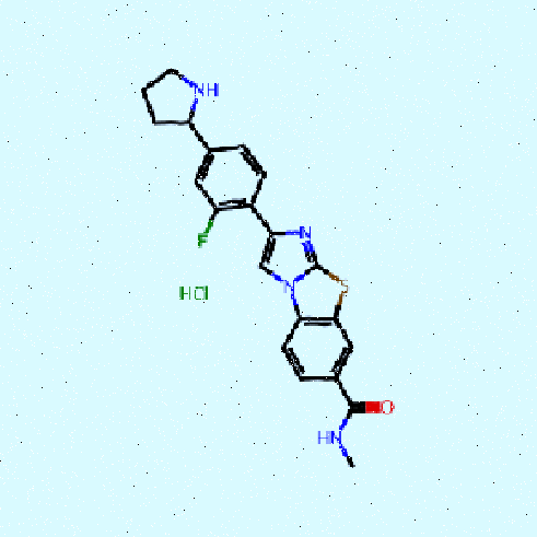 CNC(=O)c1ccc2c(c1)sc1nc(-c3ccc(C4CCCN4)cc3F)cn12.Cl